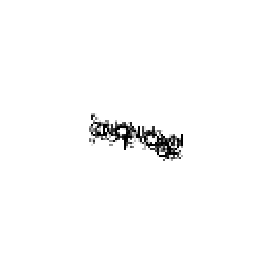 Cc1c(N2C[C@@H](C)O[C@@H](C)C2)ccc(NC[C@H]2CC[C@H](NS(=O)(=O)C(C)C)CC2)c1F